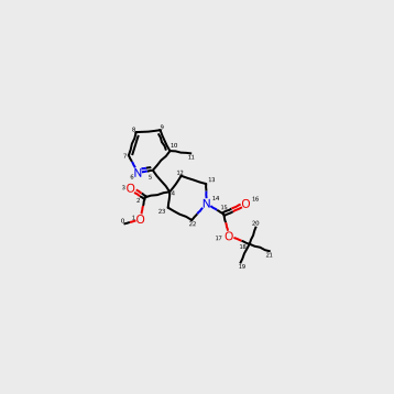 COC(=O)C1(c2ncccc2C)CCN(C(=O)OC(C)(C)C)CC1